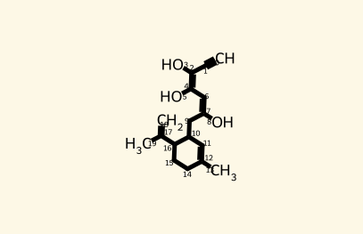 C#C/C(O)=C(O)\C=C(\O)CC1C=C(C)CCC1C(=C)C